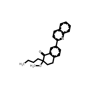 CCCCC1(OC)CCc2ccc(-c3ccc4ccccc4n3)cc2C1=O